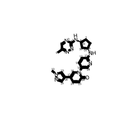 Cc1cnc(N[C@H]2CC[C@H](Nc3ccc(-n4cc(-c5cnn(C)c5)ccc4=O)cn3)C2)nn1